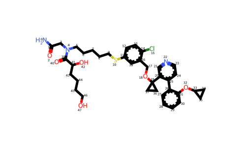 NC(=O)CN(CCCCCSc1ccc(Cl)c(COC2(c3cnccc3-c3ccccc3OC3CC3)CC2)c1)C(=O)C(O)CCCCO